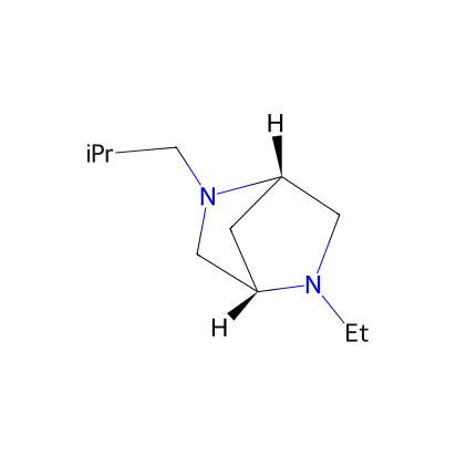 CCN1C[C@@H]2C[C@H]1CN2CC(C)C